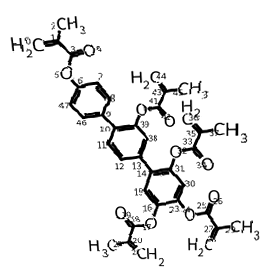 C=C(C)C(=O)Oc1ccc(-c2ccc(-c3cc(OC(=O)C(=C)C)c(OC(=O)C(=C)C)cc3OC(=O)C(=C)C)cc2OC(=O)C(=C)C)cc1